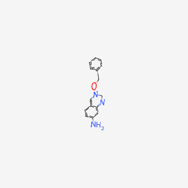 Nc1ccc2c(c1)=NCN(OCc1ccccc1)C=2